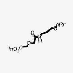 CCCOCCCNC(=O)COCC(=O)O